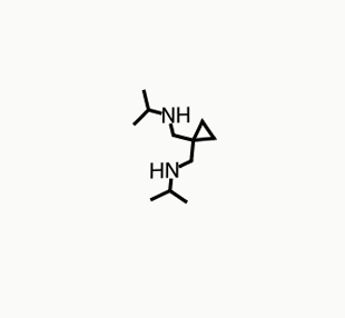 CC(C)NCC1(CNC(C)C)CC1